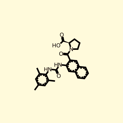 Cc1cc(C)c(NC(=O)Nc2cc3ccccc3cc2C(=O)N2CCC[C@@H]2C(=O)O)c(C)c1